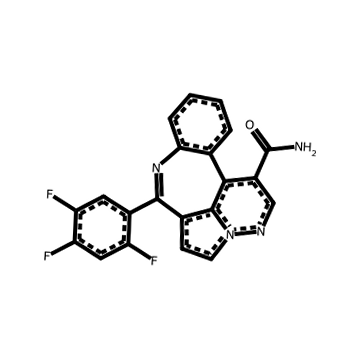 NC(=O)c1cnn2ccc3c2c1-c1ccccc1N=C3c1cc(F)c(F)cc1F